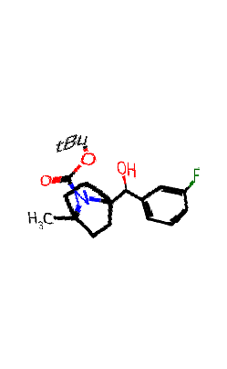 CC(C)(C)OC(=O)N1C2(C)CCC1([C@@H](O)c1cccc(F)c1)CC2